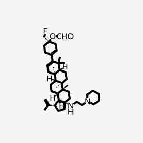 C=C(C)[C@@H]1CC[C@]2(NCCN3CCCCC3)CC[C@]3(C)[C@H](CC[C@@H]4[C@@]5(C)CC=C(C6=CC[C@](CF)(OC=O)CC6)C(C)(C)[C@@H]5CC[C@]43C)[C@@H]12